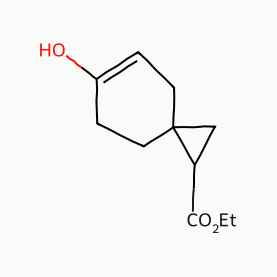 CCOC(=O)C1CC12CC=C(O)CC2